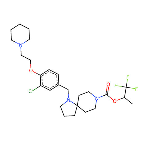 CC(OC(=O)N1CCC2(CCCN2Cc2ccc(OCCN3CCCCC3)c(Cl)c2)CC1)C(F)(F)F